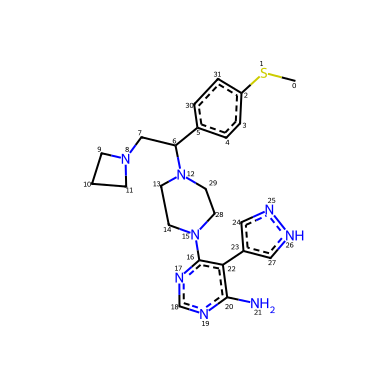 CSc1ccc(C(CN2CCC2)N2CCN(c3ncnc(N)c3-c3cn[nH]c3)CC2)cc1